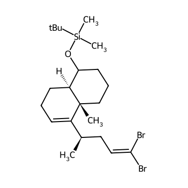 C[C@H](CC=C(Br)Br)C1=CCC[C@H]2C(O[Si](C)(C)C(C)(C)C)CCC[C@]12C